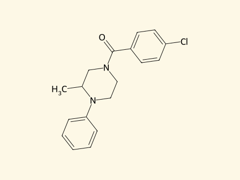 CC1CN(C(=O)c2ccc(Cl)cc2)CCN1c1ccccc1